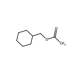 CC(=O)OCC1CCCCC1